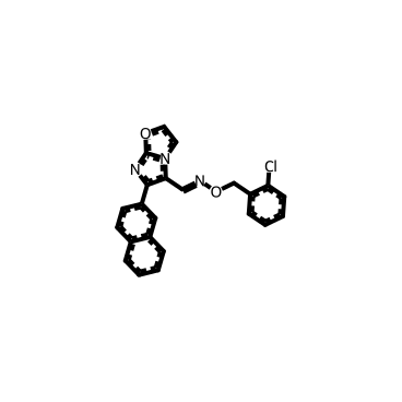 Clc1ccccc1CO/N=C/c1c(-c2ccc3ccccc3c2)nc2occn12